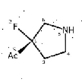 CC(=O)[C@]1(F)CCNC1